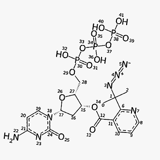 CC(C)(N=[N+]=[N-])c1ncccc1C(=O)O[C@@H]1C[C@H](n2ccc(N)nc2=O)O[C@@H]1COP(=O)(O)OP(=O)(O)OP(=O)(O)O